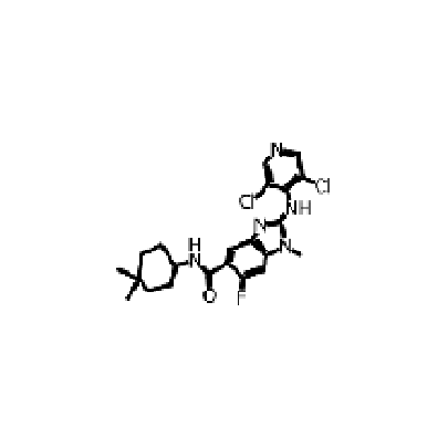 Cn1c(Nc2c(Cl)cncc2Cl)nc2cc(C(=O)NC3CCC(C)(C)CC3)c(F)cc21